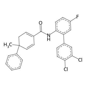 CC1(c2ccccc2)C=CC(C(=O)Nc2ccc(F)cc2-c2ccc(Cl)c(Cl)c2)=CC1